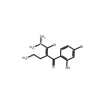 CCCC(C(=O)c1ccc(Br)cc1O)=C(Cl)N(C)C